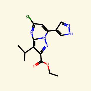 CCOC(=O)c1nn2c(-c3cn[nH]c3)cc(Cl)nc2c1C(C)C